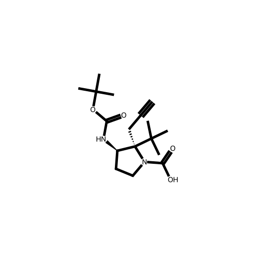 C#CC[C@@]1(C(C)(C)C)[C@H](NC(=O)OC(C)(C)C)CCN1C(=O)O